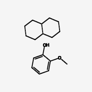 C1CCC2CCCCC2C1.COc1ccccc1O